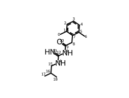 Cc1cccc(C)c1CC(=O)NC(=N)NCC(C)C